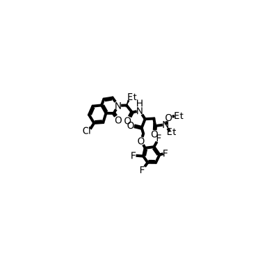 CCON(CC)C(=O)CC(NC(=O)[C@H](CC)n1ccc2ccc(Cl)cc2c1=O)C(=O)COc1c(F)c(F)cc(F)c1F